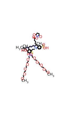 COCCOCCOCCOCCOCCN(CCOCCOCCOCCOCCOC)c1ccc(C(=C\CC(C)(C)C)/C=C/C=C2\N(CCCSO)c3ccc(S(=O)O)cc3C2(C)CCCC(=O)ON2C(=O)CCC2=O)c(O)c1